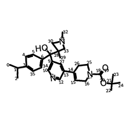 CC(C)c1ccc(C(O)(c2cncc(C3=CCN(C(=O)OC(C)(C)C)CC3)c2)C2(C)CN(C)C2)cc1